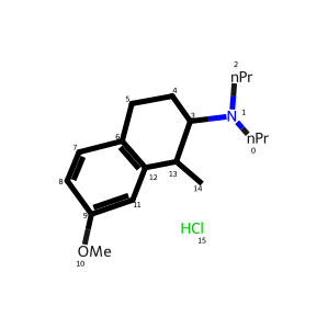 CCCN(CCC)C1CCc2ccc(OC)cc2C1C.Cl